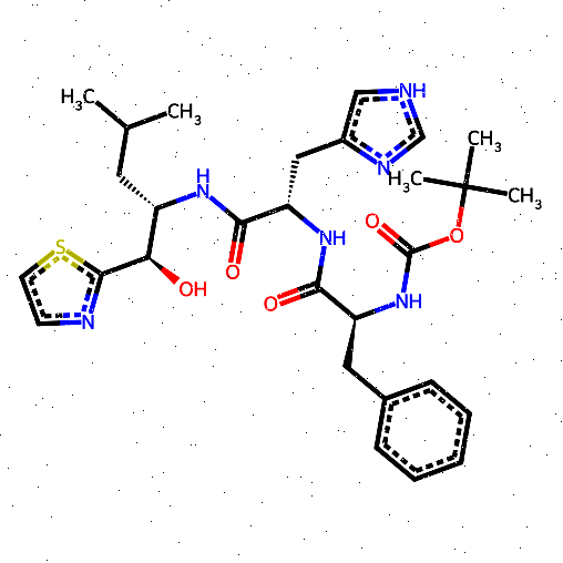 CC(C)C[C@H](NC(=O)[C@H](Cc1c[nH]cn1)NC(=O)[C@H](Cc1ccccc1)NC(=O)OC(C)(C)C)[C@@H](O)c1nccs1